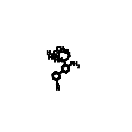 CC1(C)OOSCC(c2cc(-c3cccc(C#N)c3)ccc2P)NC1=N